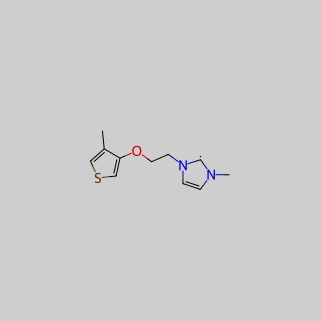 Cc1cscc1OCCN1[CH]N(C)C=C1